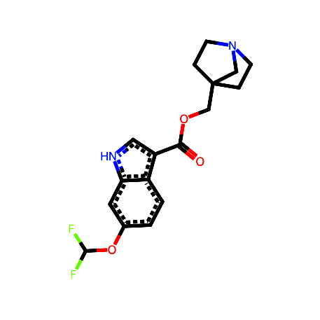 O=C(OCC12CCN(CC1)C2)c1c[nH]c2cc(OC(F)F)ccc12